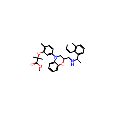 C/C=C\c1c(C)cccc1[C@@H](C)NCC1CN(c2ccc(C)c(OC(C)(C)C(=O)OC)c2)c2ccccc2O1